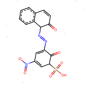 O=C1C=Cc2ccccc2C1N=NC1=CC([N+](=O)[O-])=CC(S(=O)(=O)O)C1=O